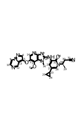 COc1c(Oc2cnn3ccncc23)cnc2nc(Nc3cc(C4CC4)cn([C@H](C)CC#N)c3=O)n(C)c12